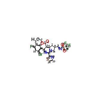 CCOC(=O)C1=C2CC(/C=N/S(=O)(=O)C(F)(F)F)CN2C(c2nccs2)=N[C@H]1c1ccc(F)cc1Br